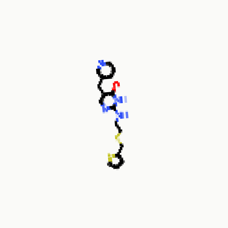 O=c1[nH]c(NCCSCc2cccs2)ncc1Cc1cccnc1